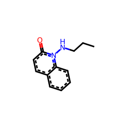 CCCNn1c(=O)ccc2ccccc21